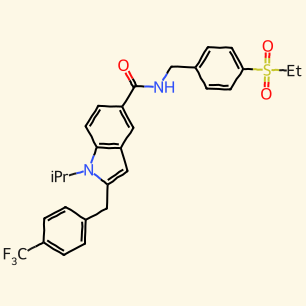 CCS(=O)(=O)c1ccc(CNC(=O)c2ccc3c(c2)cc(Cc2ccc(C(F)(F)F)cc2)n3C(C)C)cc1